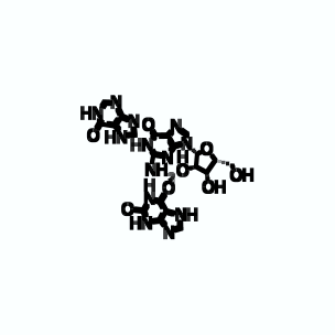 Nc1nc2c(ncn2[C@@H]2O[C@H](CO)[C@@H](O)[C@H]2O)c(=O)[nH]1.O=c1[nH]c(=O)c2[nH]cnc2[nH]1.O=c1[nH]cnc2nc[nH]c12